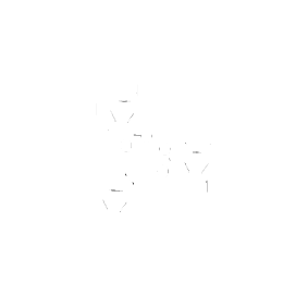 Cc1cccc(N(CCOC(=O)c2cc(I)cc(I)c2I)CCOC(=O)c2cc(I)cc(I)c2I)c1